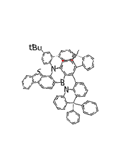 CC(C)(C)c1ccc(N2c3cc4c(c5c3B(c3ccc6c(sc7ccccc76)c32)N2c3ccccc3C(c3ccccc3)(c3ccccc3)c3cccc-5c32)-c2ccccc2C4(C)C)c(-c2ccccc2)c1